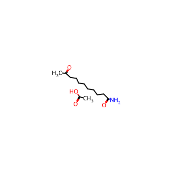 CC(=O)CCCCCCCCC(N)=O.CC(=O)O